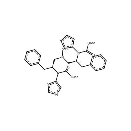 CCCCN(C[C@H](Cc1ccccc1)N(C(=O)OC)c1cncs1)C[C@H](Cc1ccccc1)N(C(=O)OC)c1cncs1